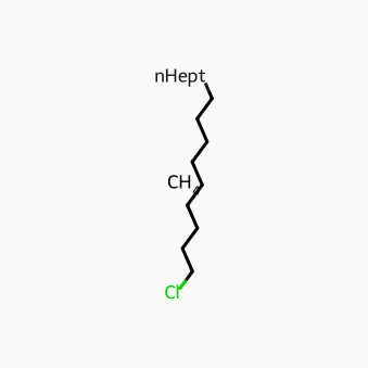 C.CCCCCCCCCCCCCCCCCl